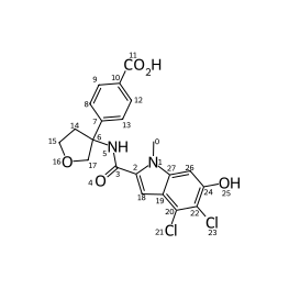 Cn1c(C(=O)NC2(c3ccc(C(=O)O)cc3)CCOC2)cc2c(Cl)c(Cl)c(O)cc21